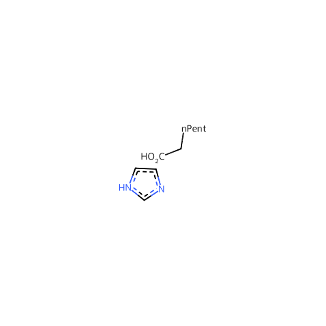 CCCCCCC(=O)O.c1c[nH]cn1